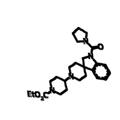 CCOC(=O)N1CCC(N2CCC3(CC2)CN(C(=O)N2CCCC2)c2ccccc23)CC1